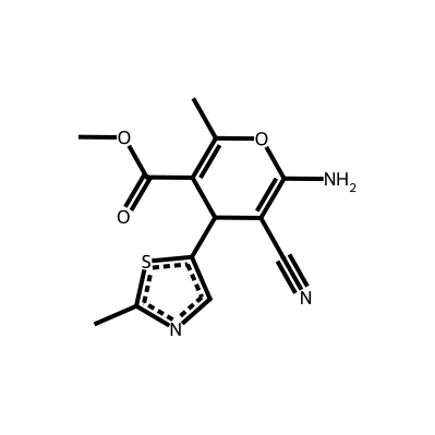 COC(=O)C1=C(C)OC(N)=C(C#N)C1c1cnc(C)s1